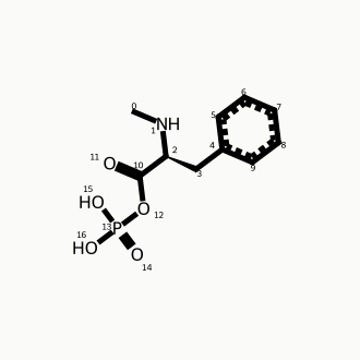 CN[C@@H](Cc1ccccc1)C(=O)OP(=O)(O)O